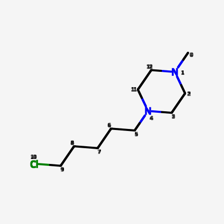 CN1CCN(CCCCCCl)CC1